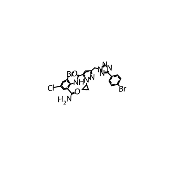 NC(=O)c1cc(Cl)cc(Br)c1NC(=O)c1cc(Cn2nnc(-c3ccc(Br)cc3)n2)nn1C1CC1